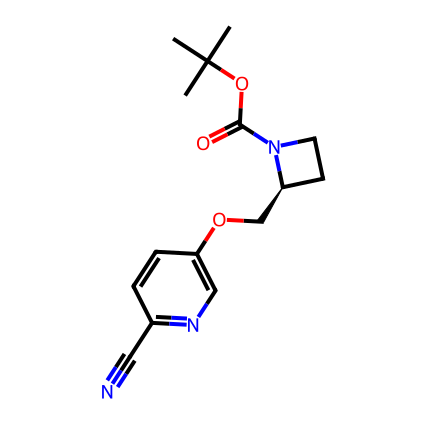 CC(C)(C)OC(=O)N1CC[C@H]1COc1ccc(C#N)nc1